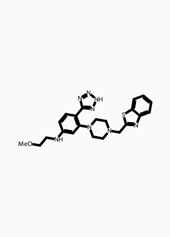 COCCNc1ccc(-c2nn[nH]n2)c(N2CCN(Cc3nc4ccccc4s3)CC2)c1